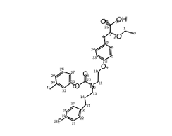 CCOC(Cc1ccc(OCCN(CCCc2ccc(F)cc2)C(=O)Oc2cccc(C)c2)cc1)C(=O)O